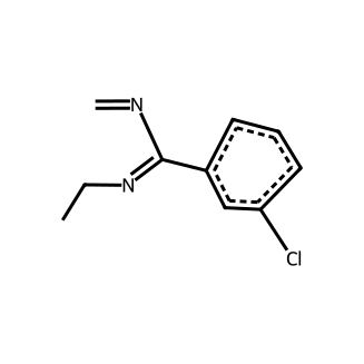 C=N/C(=N\CC)c1cccc(Cl)c1